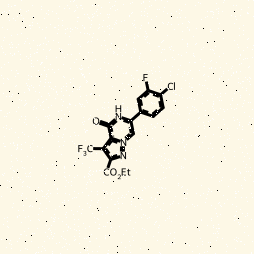 CCOC(=O)c1nn2cc(-c3ccc(Cl)c(F)c3)[nH]c(=O)c2c1C(F)(F)F